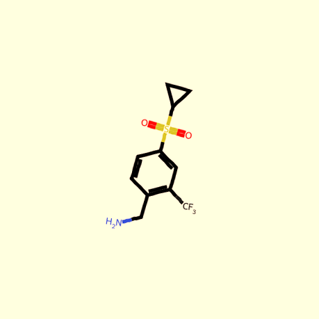 NCc1ccc(S(=O)(=O)C2CC2)cc1C(F)(F)F